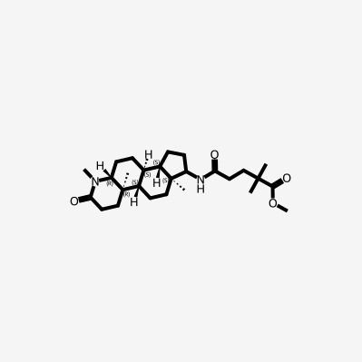 COC(=O)C(C)(C)CCC(=O)NC1CC[C@H]2[C@@H]3CC[C@H]4N(C)C(=O)CC[C@]4(C)[C@H]3CC[C@]12C